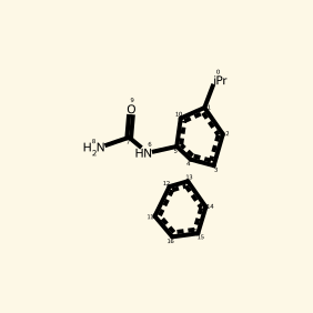 CC(C)c1cccc(NC(N)=O)c1.c1ccccc1